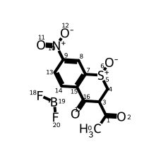 CC(=O)C1C[S+]([O-])c2cc([N+](=O)[O-])ccc2C1=O.F[B]F